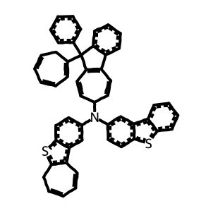 C1=CC=C(C2(c3ccccc3)C3=C(C=CC(N(c4ccc5sc6c(c5c4)C=CC=CC6)c4ccc5sc6ccccc6c5c4)C=C3)c3ccccc32)CC=C1